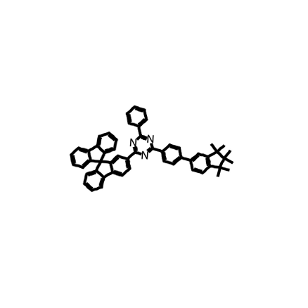 CC1(C)c2ccc(-c3ccc(-c4nc(-c5ccccc5)nc(-c5ccc6c(c5)C5(c7ccccc7-c7ccccc75)c5ccccc5-6)n4)cc3)cc2C(C)(C)C1(C)C